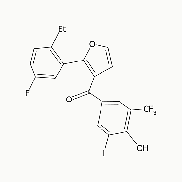 CCc1ccc(F)cc1-c1occc1C(=O)c1cc(I)c(O)c(C(F)(F)F)c1